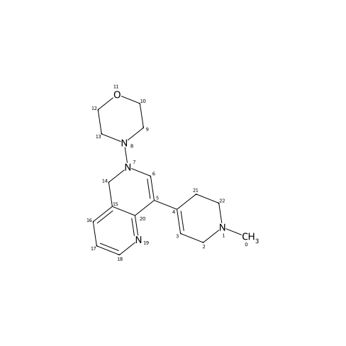 CN1CC=C(C2=CN(N3CCOCC3)Cc3cccnc32)CC1